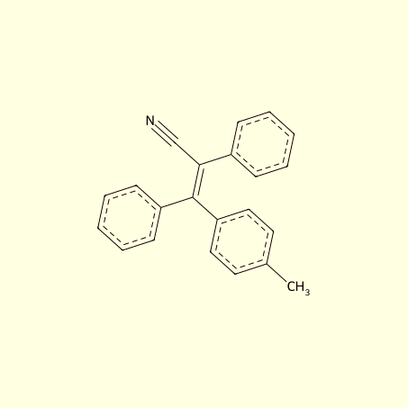 Cc1ccc(/C(=C(/C#N)c2ccccc2)c2ccccc2)cc1